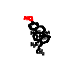 C=C=C1CC[C@H]2[C@@H]3CCc4cc(O)ccc4[C@H]3CC[C@]12C